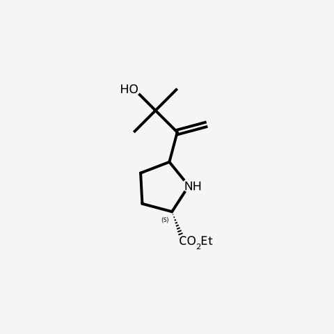 C=C(C1CC[C@@H](C(=O)OCC)N1)C(C)(C)O